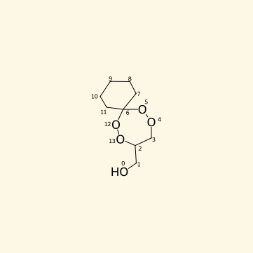 OCC1COOC2(CCCCC2)OO1